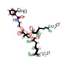 CCOC(=O)C(Br)CCCC(Br)C(=O)OCC(C)(COC(=O)C(Br)CCCC(Br)C(=O)OCC)C(=O)OCCNC(=O)[C@H]1C2C=CC(O2)[C@H]1C=O